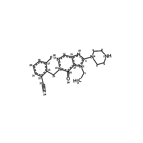 CCn1c(N2CCNCC2)nc2cnn(Cc3c(F)cccc3C#N)c(=O)c21